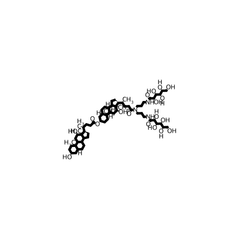 C[C@H](CCC(=O)O[C@@H]1CC[C@@]2(C)[C@H](CC[C@@H]3[C@@H]2C[C@H](O)[C@]2(C)[C@@H]([C@H](C)CCC(=O)N(CCCNC(=O)[C@H](O)[C@@H](O)[C@H](O)[C@H](O)CO)CCCNC(=O)[C@H](O)[C@@H](O)[C@H](O)[C@H](O)CO)CC[C@@H]32)C1)[C@H]1CCC2C3CC[C@@H]4C[C@H](O)CC[C@]4(C)C3C[C@H](O)[C@@]21C